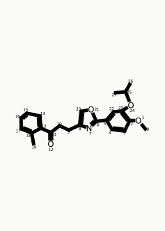 COc1ccc(-c2nc(CCC(=O)c3ccccc3C)co2)cc1OC(C)C